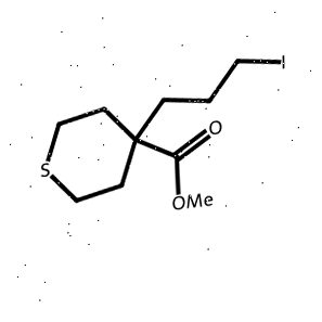 COC(=O)C1(CCCI)CCSCC1